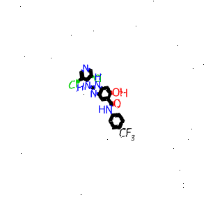 O=C(N[C@H]1CC[C@H](C(F)(F)F)CC1)c1cc2nc(Nc3c(Cl)cncc3Cl)[nH]c2cc1O